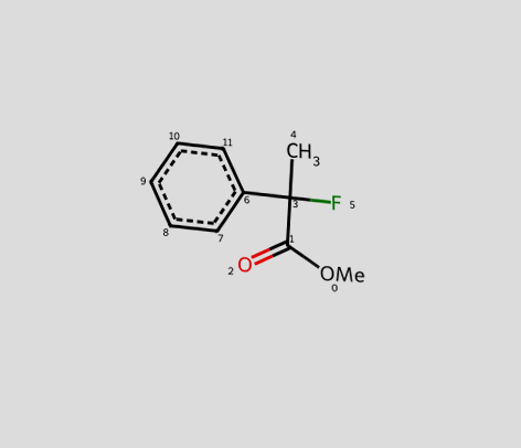 COC(=O)C(C)(F)c1ccccc1